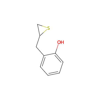 Oc1ccccc1CC1CS1